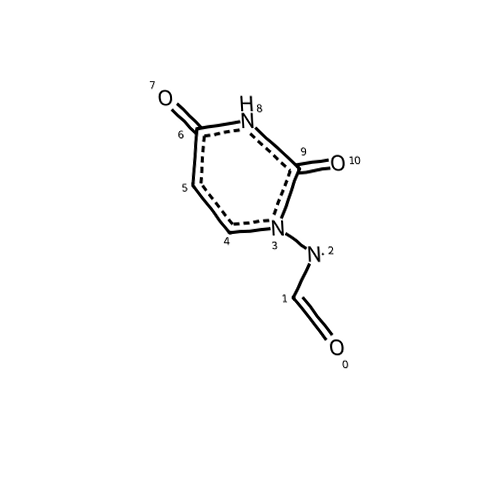 O=C[N]n1ccc(=O)[nH]c1=O